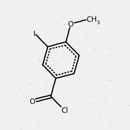 COc1ccc(C(=O)Cl)cc1I